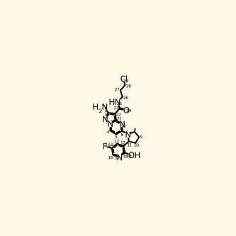 Nc1nn2ccc(N3CCCC3c3cc(F)cnc3O)nc2c1C(=O)NCCCCl